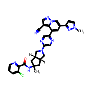 Cn1ccc(-c2cc(-c3cnc(N4C[C@@H]5CC(C)(NC(=O)c6ncccc6Cl)C[C@@H]5C4)cn3)c3c(C#N)cnn3c2)n1